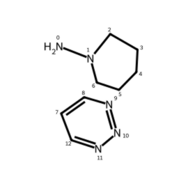 NN1CCCCC1.c1cnnnc1